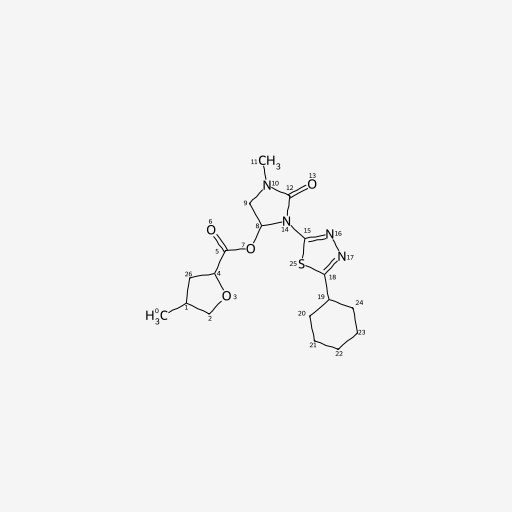 CC1COC(C(=O)OC2CN(C)C(=O)N2c2nnc(C3CCCCC3)s2)C1